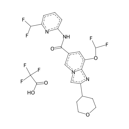 O=C(Nc1cccc(C(F)F)n1)c1cc(OC(F)F)c2nc(C3CCOCC3)cn2c1.O=C(O)C(F)(F)F